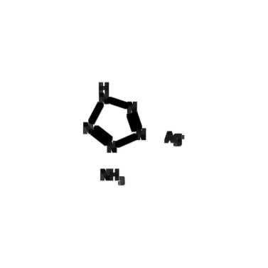 N.[Ag].n1nn[nH]n1